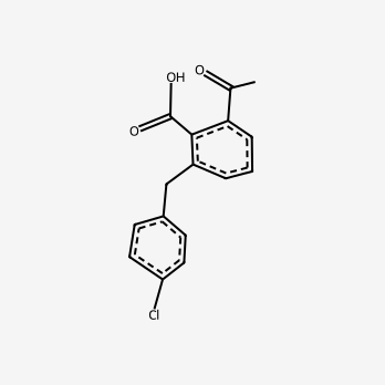 CC(=O)c1cccc(Cc2ccc(Cl)cc2)c1C(=O)O